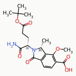 COc1c(C(=O)O)ccc2c1[C@@H](C)N([C@@H](CCC(=O)OC(C)(C)C)C(N)=O)C2=O